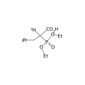 [2H]C(CC(C)C)(C(=O)O)P(=O)(OCC)OCC